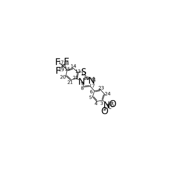 O=[N+]([O-])c1ccc(-c2cn3c(n2)sc2cc(C(F)(F)F)ccc23)cc1